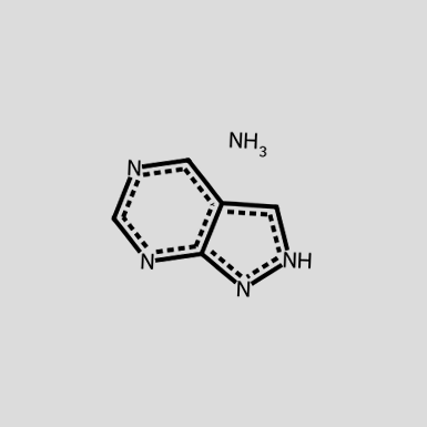 N.c1ncc2c[nH]nc2n1